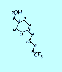 OC[C@H]1CC[C@@H](CSCCC(F)(F)F)CC1